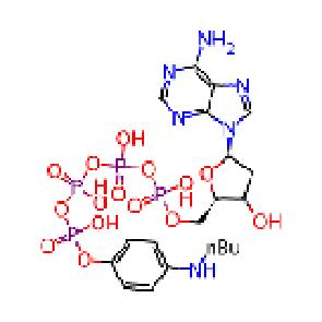 CCCCNc1ccc(OP(=O)(O)OP(=O)(O)OP(=O)(O)OP(=O)(O)OC[C@H]2O[C@@H](n3cnc4c(N)ncnc43)C[C@H]2O)cc1